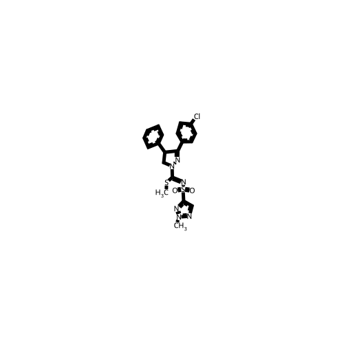 CS/C(=N\S(=O)(=O)c1cnn(C)n1)N1CC(c2ccccc2)C(c2ccc(Cl)cc2)=N1